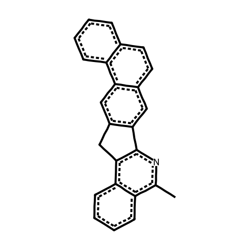 Cc1nc2c(c3ccccc13)Cc1cc3c(ccc4ccccc43)cc1-2